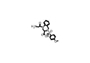 COc1ccc(S(=O)(=O)N2Cc3ccccc3N(C(=O)CN)CC2C(=O)O)cc1